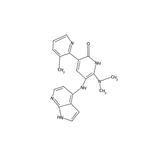 Cc1cccnc1-c1cc(Nc2ccnc3[nH]ccc23)c(N(C)C)[nH]c1=O